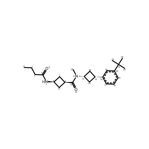 CCCC(=O)N[C@H]1C[C@@H](C(=O)N(C)[C@H]2C[C@@H](c3cccc(C(C)(C)C)c3)C2)C1